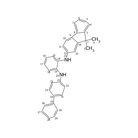 CC1(C)c2ccccc2-c2ccc(Nc3ccccc3Nc3ccc(-c4ccccc4)cc3)cc21